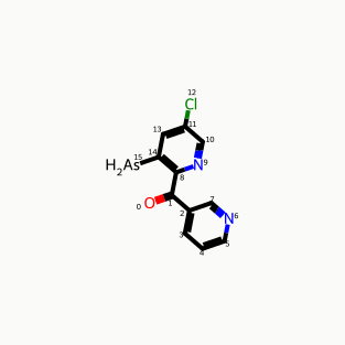 O=C(c1cccnc1)c1ncc(Cl)cc1[AsH2]